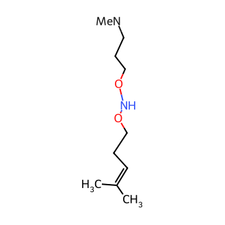 CNCCCONOCCC=C(C)C